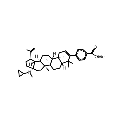 C=C(C)[C@@H]1CC[C@]2(N(C)C3CC3)CC[C@]3(C)[C@H](CC[C@@H]4[C@@]5(C)CC=C(c6ccc(C(=O)OC)cc6)C(C)(C)[C@@H]5CC[C@]43C)[C@@H]12